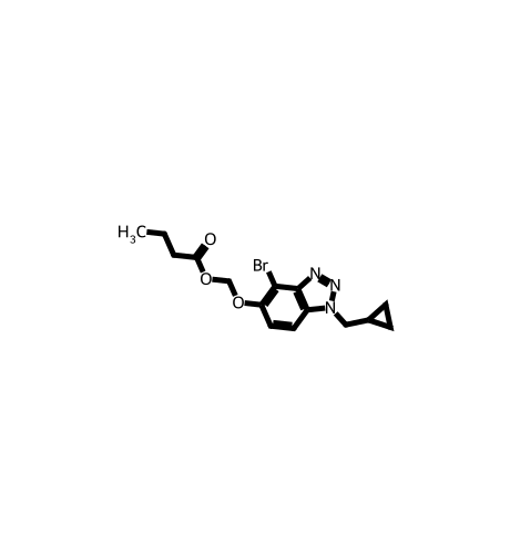 CCCC(=O)OCOc1ccc2c(nnn2CC2CC2)c1Br